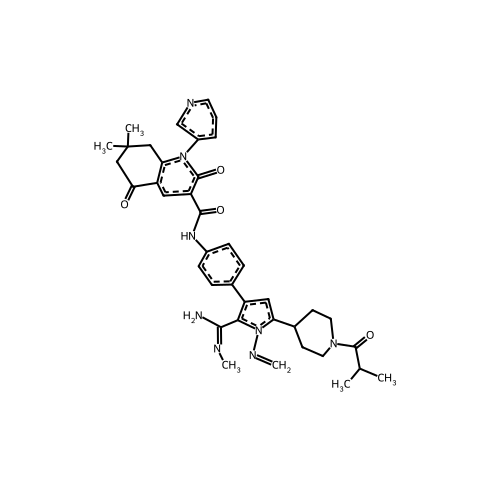 C=Nn1c(C2CCN(C(=O)C(C)C)CC2)cc(-c2ccc(NC(=O)c3cc4c(n(-c5cccnc5)c3=O)CC(C)(C)CC4=O)cc2)c1/C(N)=N\C